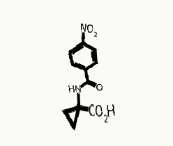 O=C(NC1(C(=O)O)CC1)c1ccc([N+](=O)[O-])cc1